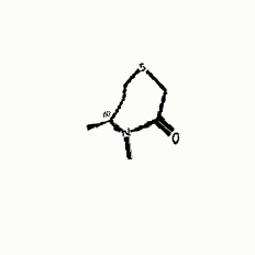 C[C@H]1CSCC(=O)N1C